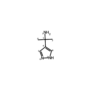 CC(C)(N)c1cn[nH]c1